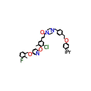 Cc1cc(C=CC(=O)N2CCN(Cc3ccc(CCOc4ccc(C(C)C)cc4)cc3)CC2)cc(Cl)c1Oc1ccc(OCc2cccc(F)c2C)cn1